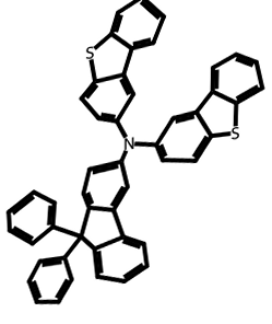 c1ccc(C2(c3ccccc3)c3ccccc3-c3cc(N(c4ccc5sc6ccccc6c5c4)c4ccc5sc6ccccc6c5c4)ccc32)cc1